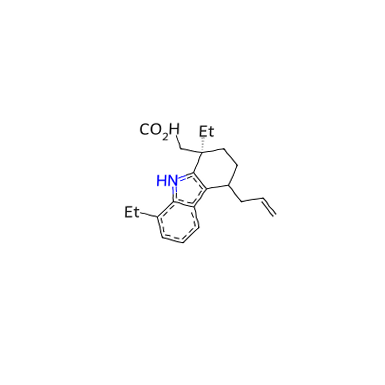 C=CCC1CC[C@](CC)(CC(=O)O)c2[nH]c3c(CC)cccc3c21